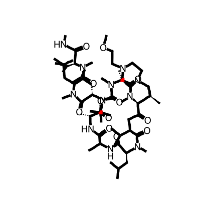 CNC(=O)[C@H](C(C)C)N(C)C(=O)C(CC(C)C)N(C)C(=O)[C@H](CC(C)C)N(C)C(=O)[C@@H](C)NC(=O)C(C)NC(=O)[C@H](CC(C)C)N(C)C(=O)C(CC(=O)[C@H]([C@H](C)CN1CCN(CCOC)CC1)N(C)C(=O)[C@@H](C)N(C)C(=O)OC(C)(C)C)C(C)C